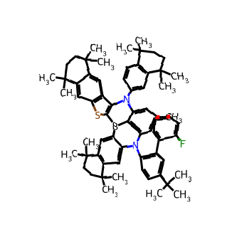 Cc1cc2c3c(c1)N(c1ccc4c(c1)C(C)(C)CCC4(C)C)c1c(sc4cc5c(cc14)C(C)(C)CCC5(C)C)B3c1cc3c(cc1N2c1ccc(C(C)(C)C)cc1-c1ccccc1F)C(C)(C)CCC3(C)C